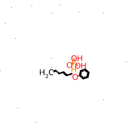 C=CCC=CCOc1ccccc1.O=[PH](O)O